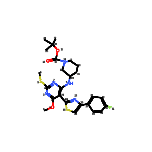 COc1nc(SC)nc(NC2CCCN(C(=O)OC(C)(C)C)C2)c1-c1nc(-c2ccc(F)cc2)cs1